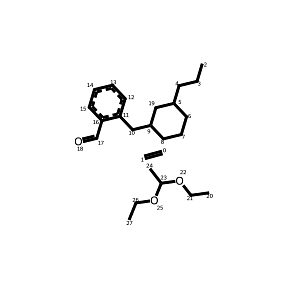 C=C.CCCC1CCCC(Cc2ccccc2C=O)C1.CCOC(C)OCC